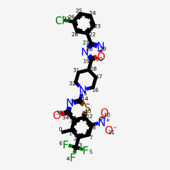 Cc1c(C(F)(F)F)cc([N+](=O)[O-])c2sc(N3CCC(c4nc(-c5cccc(Cl)c5)no4)CC3)nc(=O)c12